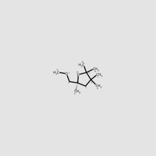 COC[C@]1(C)CC(C)(C)C(C)(C)O1